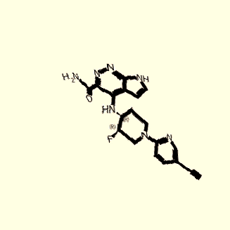 C#Cc1ccc(N2CC[C@@H](Nc3c(C(N)=O)nnc4[nH]ccc34)[C@H](F)C2)nc1